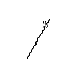 CCCCCCCCC=CCCCCCCCC(=O)OC(=O)CCC